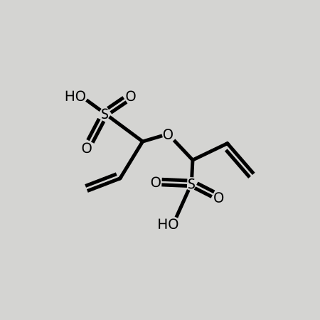 C=CC(OC(C=C)S(=O)(=O)O)S(=O)(=O)O